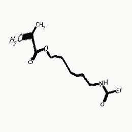 C=C(C)C(=O)OCCCCCNC(=O)CC